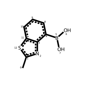 Cc1nc2c(B(O)O)cccc2s1